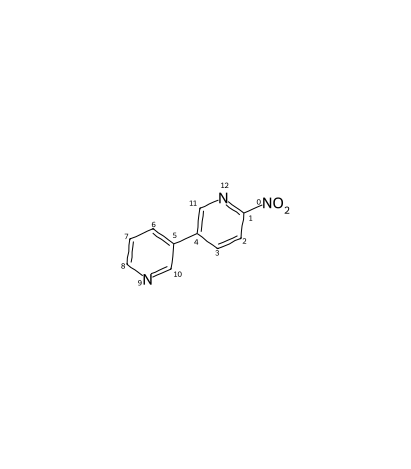 O=[N+]([O-])c1ccc(-c2cccnc2)cn1